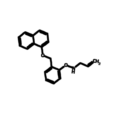 C=CCNOc1ccccc1COc1cccc2ccccc12